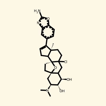 CN(C)[C@H]1C[C@@]23CC[C@]4(O2)C2CC=C(c5ccc6oc(N)nc6c5)[C@@]2(C)CCC4(Cl)CC3[C@@H](O)[C@@H]1O